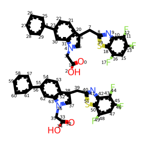 O=C(O)Cn1cc(Cc2nc3c(F)c(F)cc(F)c3s2)c2ccc(-c3ccccc3)cc21.O=C(O)Cn1cc(Cc2nc3c(F)c(F)cc(F)c3s2)c2ccc(-c3ccccc3)cc21